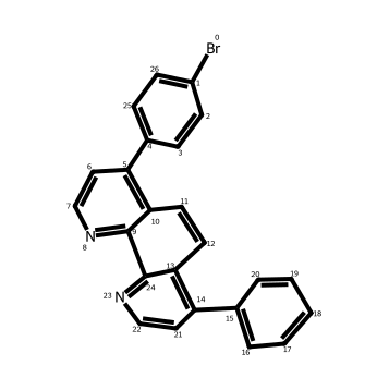 Brc1ccc(-c2ccnc3c2ccc2c(-c4ccccc4)ccnc23)cc1